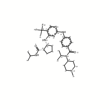 CC(C)NC(=O)[C@H]1CCC[C@H]1Nc1nc(Nc2ccc(C(=O)N(C(C)C)C3CCN(C)CC3)cc2)ncc1C(F)(F)F